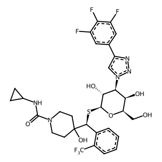 O=C(NC1CC1)N1CCC(O)([C@@H](S[C@@H]2O[C@H](CO)[C@H](O)[C@H](n3cc(-c4cc(F)c(F)c(F)c4)nn3)[C@H]2O)c2ccccc2C(F)(F)F)CC1